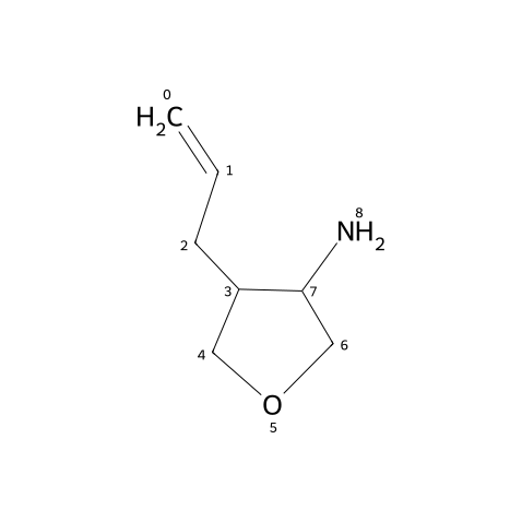 C=CCC1COCC1N